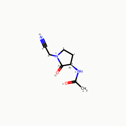 CC(=O)N[C@@H]1CCN(CC#N)C1=O